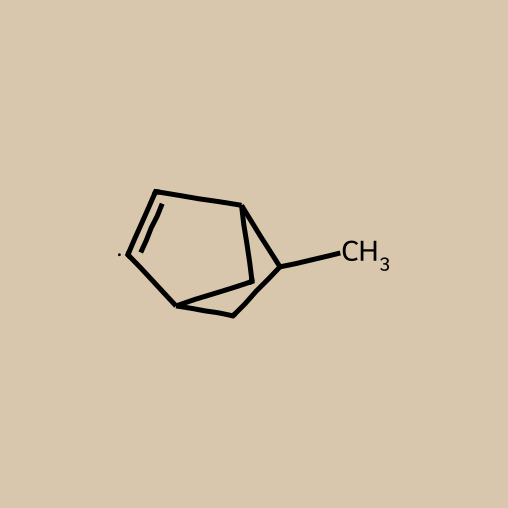 CC1CC2[C]=CC1C2